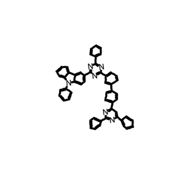 c1ccc(-c2cc(-c3ccc(-c4cccc(-c5nc(-c6ccccc6)nc(-c6ccc7c(c6)c6ccccc6n7-c6ccccc6)n5)c4)cc3)nc(-c3ccccc3)n2)cc1